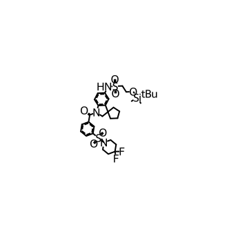 CC(C)(C)[Si](C)(C)OCCS(=O)(=O)Nc1ccc2c(c1)C1(CCCC1)CN2C(=O)c1cccc(S(=O)(=O)N2CCC(F)(F)CC2)c1